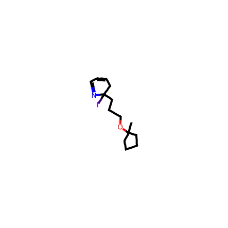 CC1(OCCCC2(I)CC=CC=N2)CCCC1